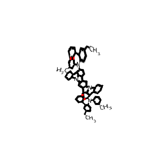 CCc1ccc(N(c2cccc(C)c2)c2ccc3c4cc5c(cc4n4c6ccccc6c2c34)c2ccc(N(c3cccc(C)c3)c3ccc(CC)cc3-c3ccccc3)c3c4ccccc4n5c23)c(-c2ccccc2)c1